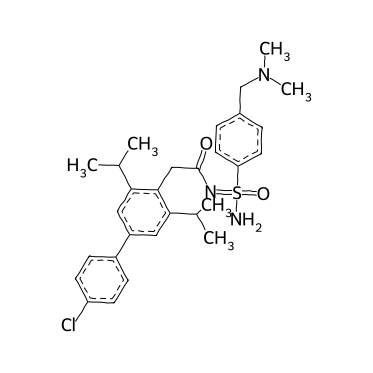 CC(C)c1cc(-c2ccc(Cl)cc2)cc(C(C)C)c1CC(=O)N=S(N)(=O)c1ccc(CN(C)C)cc1